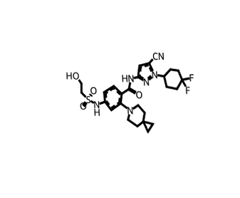 N#Cc1cc(NC(=O)c2ccc(NS(=O)(=O)CCO)cc2N2CCC3(CC2)CC3)nn1C1CCC(F)(F)CC1